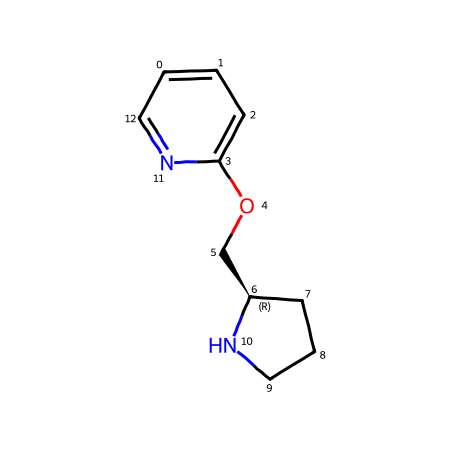 c1ccc(OC[C@H]2CCCN2)nc1